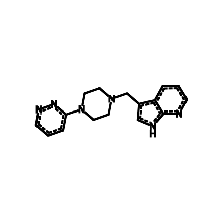 c1cnnc(N2CCN(Cc3c[nH]c4ncccc34)CC2)c1